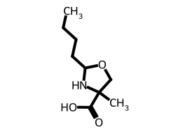 CCCCC1NC(C)(C(=O)O)CO1